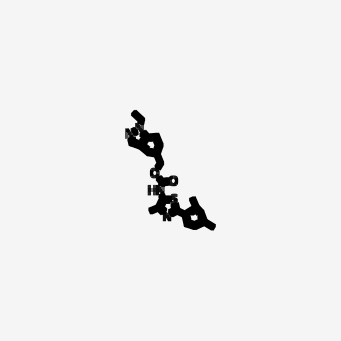 CCn1ncc2cc(COC(=O)Nc3sc(-c4ccc(C)cc4C)nc3C)ccc21